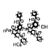 CCCN(CC1CCN(C(=O)N2CCOCC2)CC1)C(C)Cc1cccc(NC(=O)c2ccncc2)c1.CCCN(CC1CCN(C(=O)N2CCOCC2)CC1)C(C)Cc1cccc(NC(=O)c2ccncc2)c1.Cl.Cl